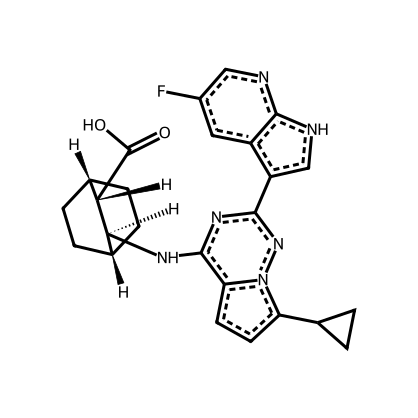 O=C(O)[C@H]1[C@H]2CC[C@H](CC2)[C@@H]1Nc1nc(-c2c[nH]c3ncc(F)cc23)nn2c(C3CC3)ccc12